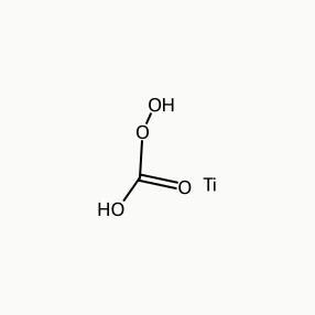 O=C(O)OO.[Ti]